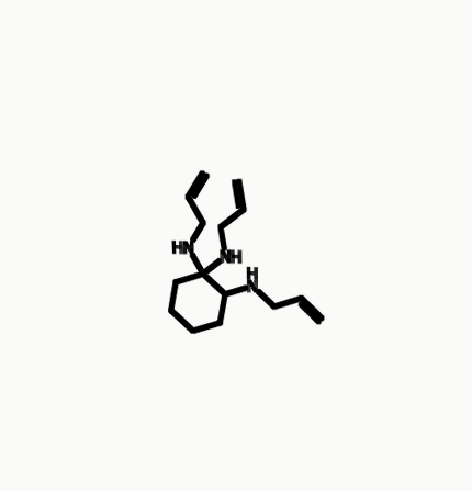 C=CCNC1CCCCC1(NCC=C)NCC=C